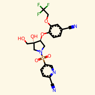 N#Cc1ccc(O[C@H]2CN(S(=O)(=O)c3ccc(C#N)nc3)C[C@@]2(O)CO)c(OCC(F)(F)F)c1